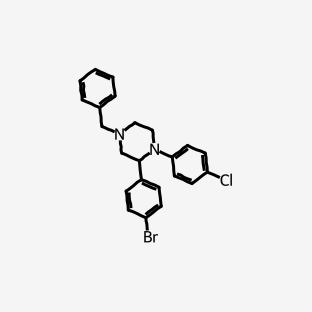 Clc1ccc(N2CCN(Cc3ccccc3)CC2c2ccc(Br)cc2)cc1